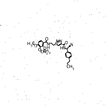 CCCc1ccc(C(C#N)NC(=O)c2cn(CCNC(=O)c3ccc(OC)c(OC)c3OC)nn2)cc1